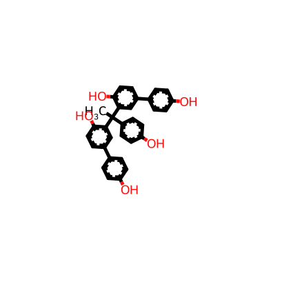 CC(c1ccc(O)cc1)(c1cc(-c2ccc(O)cc2)ccc1O)c1cc(-c2ccc(O)cc2)ccc1O